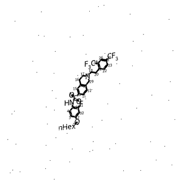 CCCCCCOc1ccc(NS(=O)(=O)c2ccc3c(c2)CCN(CCc2ccc(C(F)(F)F)cc2C(F)(F)F)C3)c(F)c1